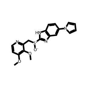 COc1ccnc(C[S+]([O-])c2nc3cc(-n4cccc4)ccc3[nH]2)c1OC